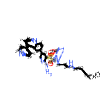 Nc1ncc(-c2ccc3nccc(-c4ccncc4)c3c2)cc1S(=O)(=O)NCCCNCCCC=O